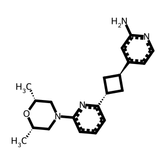 C[C@@H]1CN(c2cccc([C@H]3C[C@H](c4ccnc(N)c4)C3)n2)C[C@H](C)O1